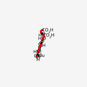 CC(C)C(=O)[C@H](CCCCNC(=O)COCCOCCNC(=O)COCCOCCNC(=O)CC[C@H](NC(=O)CCCC(C)(C)CC(C)(C)CCC(=O)O)C(=O)O)NC(C)(C)C